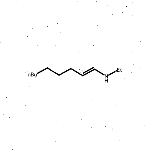 CCCCCCCC=CNCC